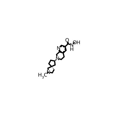 CN1CC[C@@]2(CC[C@@H](N3CCc4cc(C(=O)NO)cnc4C3)C2)C1